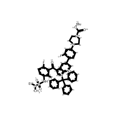 CCN(C)S(=O)(=O)Nc1ccc(F)c(C(=O)c2cn(C(c3ccccc3)(c3ccccc3)c3ccccc3)c3ncc(-c4ccc(N5CCN(C(=O)OC(C)(C)C)CC5)cc4F)cc23)c1F